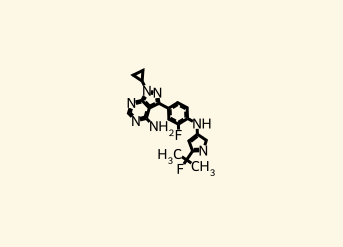 CC(C)(F)C1=NCC(Nc2ccc(-c3nn(C4CC4)c4ncnc(N)c34)cc2F)=C1